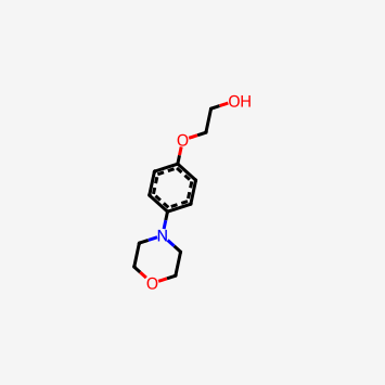 OCCOc1ccc(N2CCOCC2)cc1